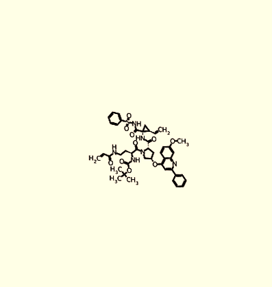 C=CC(=O)NCC[C@H](NC(=O)OC(C)(C)C)C(=O)N1C[C@H](Oc2cc(-c3ccccc3)nc3cc(OC)ccc23)C[C@H]1C(=O)N[C@]1(C(=O)NS(=O)(=O)c2ccccc2)C[C@H]1C=C